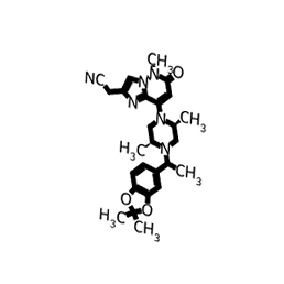 CC(c1ccc2c(c1)OC(C)(C)O2)N1C[C@H](C)N(c2cc(=O)n(C)n3cc(CC#N)nc23)C[C@H]1C